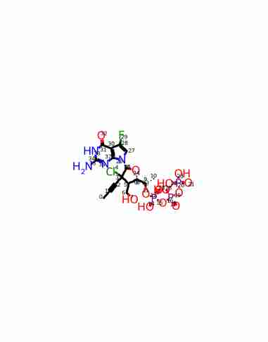 CC#CC1(Cl)C(CO)[C@@H]([C@H](C)OP(=O)(O)OP(=O)(O)OP(=O)(O)O)O[C@H]1n1cc(F)c2c(=O)[nH]c(N)nc21